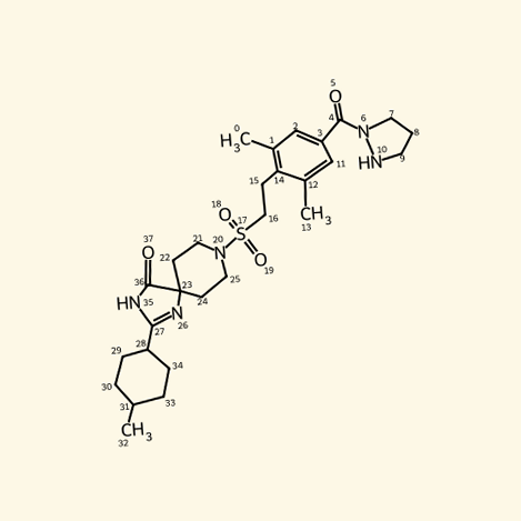 Cc1cc(C(=O)N2CCCN2)cc(C)c1CCS(=O)(=O)N1CCC2(CC1)N=C(C1CCC(C)CC1)NC2=O